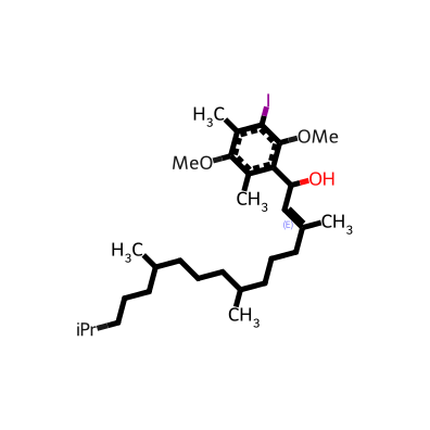 COc1c(C)c(I)c(OC)c(C(O)/C=C(\C)CCCC(C)CCCC(C)CCCC(C)C)c1C